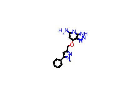 Cn1nc(COc2cc(N)nc3[nH]nnc23)cc1-c1ccccc1